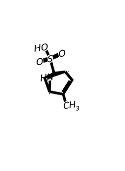 CC1=C[C]2N[C]1C=C2S(=O)(=O)O